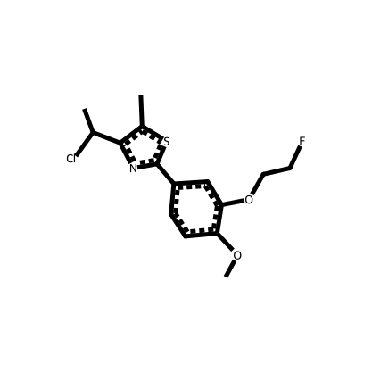 COc1ccc(-c2nc(C(C)Cl)c(C)s2)cc1OCCF